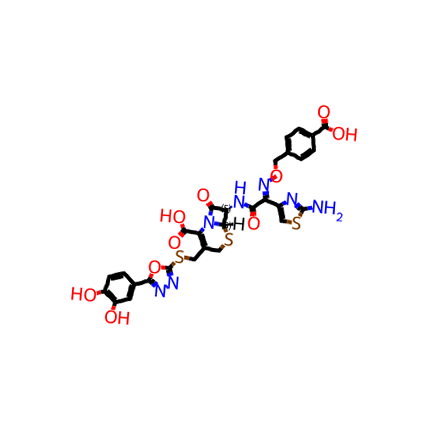 Nc1nc(C(=NOCc2ccc(C(=O)O)cc2)C(=O)N[C@H]2C(=O)N3C(C(=O)O)=C(CSc4nnc(-c5ccc(O)c(O)c5)o4)CS[C@@H]23)cs1